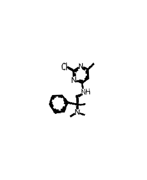 Cc1cc(NCC(C)(c2ccccc2)N(C)C)nc(Cl)n1